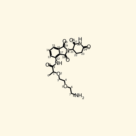 CC(OCCOCCN)C(=O)Nc1cccc2c1C(=O)N(C1CCC(=O)NC1=O)C2=O